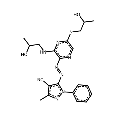 Cc1nn(-c2ccccc2)c(N=Nc2ncc(NCC(C)O)nc2NCC(C)O)c1C#N